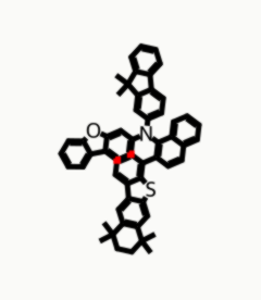 CC1(C)CCC(C)(C)c2cc3c(cc21)sc1c(-c2ccc4ccccc4c2N(c2ccc4c(c2)C(C)(C)c2ccccc2-4)c2ccc4c(c2)oc2ccccc24)cccc13